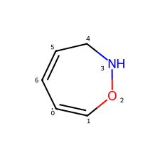 [C]1=CONCC=C1